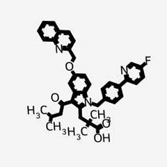 CC(C)CC(=O)c1c(CC(C)(C)C(=O)O)n(Cc2ccc(-c3ccc(F)cn3)cc2)c2ccc(OCc3ccc4ccccc4n3)cc12